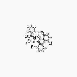 COC(=O)[C@@H](c1ccccc1)N1C[C@H](c2cc(Cl)ccc2O)[C@@H](c2ccccc2Br)C1